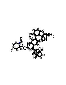 CN1CC/C(=C\F)[C@](C)(COc2nc(N3C[C@H]4CC[C@@H](C3)N4)c3cc(Cl)c(-c4c(F)ccc5sc(N)c(C#N)c45)c(F)c3n2)C1